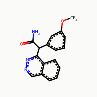 NC(=O)C(c1cccc(OC(F)(F)F)c1)c1nncc2ccccc12